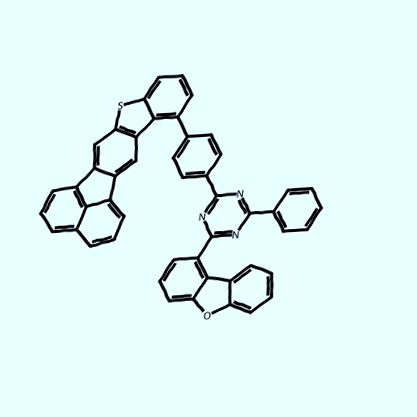 c1ccc(-c2nc(-c3ccc(-c4cccc5sc6cc7c(cc6c45)-c4cccc5cccc-7c45)cc3)nc(-c3cccc4oc5ccccc5c34)n2)cc1